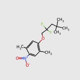 Cc1cc([N+](=O)[O-])c(C)cc1OCC(F)(F)CC(C)(C)C